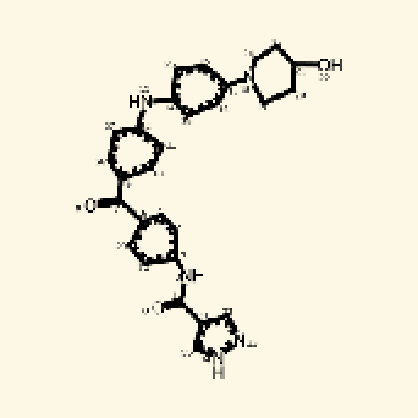 O=C(Nc1ccc(C(=O)c2ccc(Nc3ccc(N4CCC(O)CC4)cc3)cc2)cc1)c1cn[nH]c1